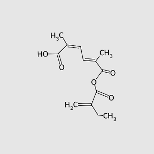 C=C(CC)C(=O)OC(=O)C(C)=CC=C(C)C(=O)O